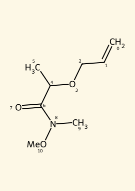 C=CCOC(C)C(=O)N(C)OC